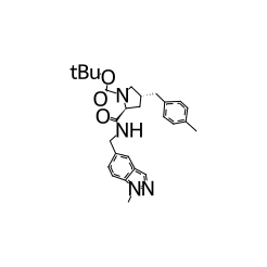 Cc1ccc(C[C@@H]2C[C@@H](C(=O)NCc3ccc4c(cnn4C)c3)N(C(=O)OC(C)(C)C)C2)cc1